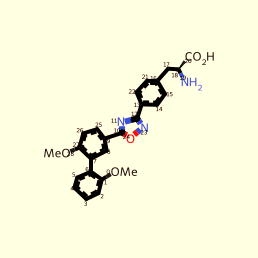 COc1ccccc1-c1cc(-c2nc(-c3ccc(C[C@H](N)C(=O)O)cc3)no2)ccc1OC